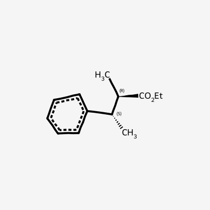 CCOC(=O)[C@H](C)[C@H](C)c1ccccc1